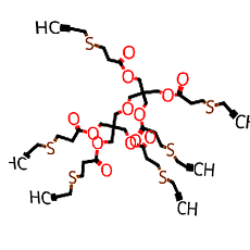 C#CCSCCC(=O)OCC(COCC(COC(=O)CCSCC#C)(COC(=O)CCSCC#C)COC(=O)CCSCC#C)(COC(=O)CCSCC#C)COC(=O)CCSCC#C